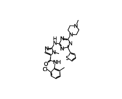 Cc1cccc(Cl)c1NC(=O)c1cnc(Nc2nc(-c3cccs3)nc(N3CCN(C)CC3)n2)n1C